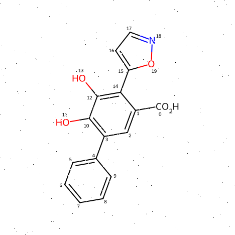 O=C(O)c1cc(-c2ccccc2)c(O)c(O)c1-c1ccno1